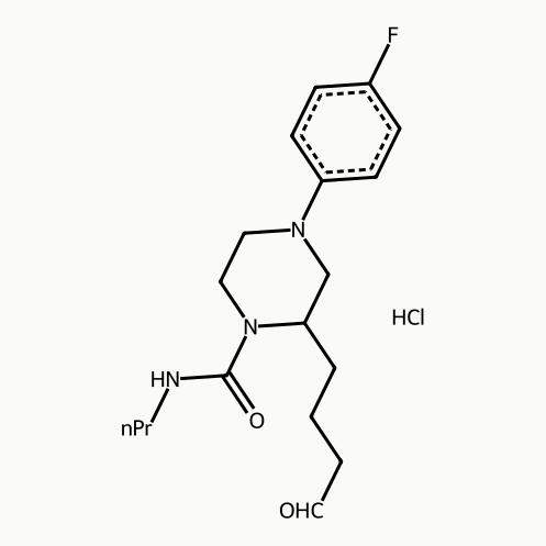 CCCNC(=O)N1CCN(c2ccc(F)cc2)CC1CCCC=O.Cl